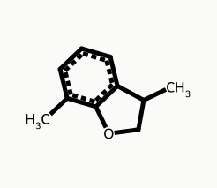 Cc1cccc2c1OCC2C